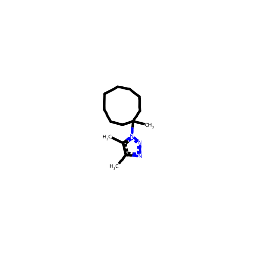 Cc1nnn(C2(C)CCCCCCCC2)c1C